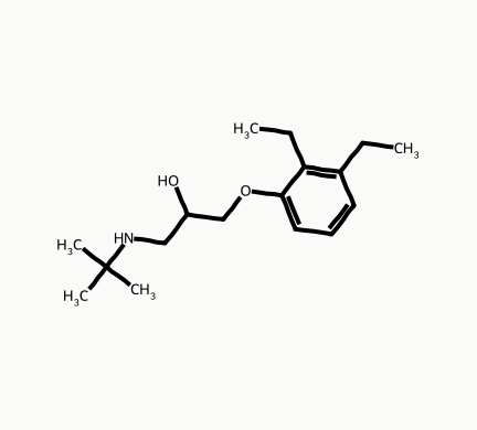 CCc1cccc(OCC(O)CNC(C)(C)C)c1CC